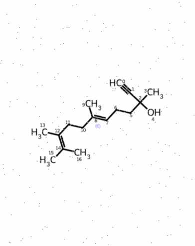 C#CC(C)(O)CC/C=C(\C)CCC(C)=C(C)C